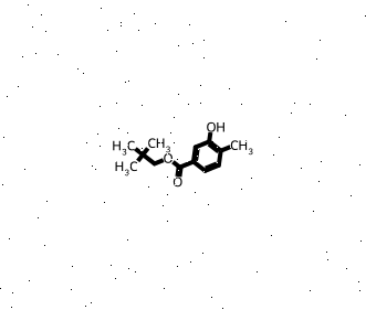 Cc1ccc(C(=O)OCC(C)(C)C)cc1O